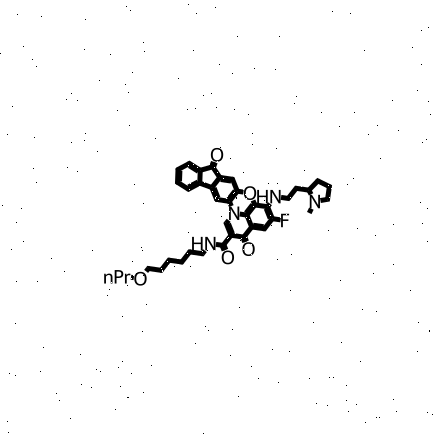 CCCOCCCCCCNC(=O)c1cn2c3cc4c(cc3oc3c(NCCC5CCCN5C)c(F)cc(c1=O)c32)c(=O)c1ccccc14